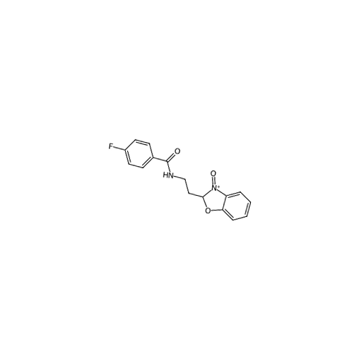 O=C(NCCC1Oc2ccccc2[N+]1=O)c1ccc(F)cc1